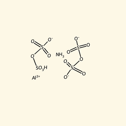 N.O=S(=O)([O-])OS(=O)(=O)O.O=S(=O)([O-])OS(=O)(=O)[O-].[Al+3]